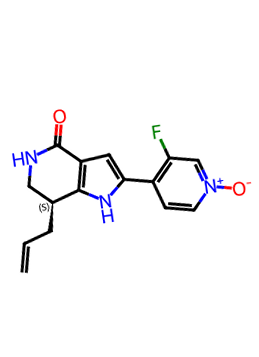 C=CC[C@H]1CNC(=O)c2cc(-c3cc[n+]([O-])cc3F)[nH]c21